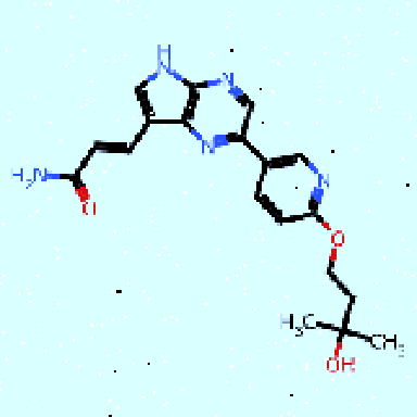 CC(C)(O)CCOc1ccc(-c2cnc3[nH]cc(/C=C/C(N)=O)c3n2)cn1